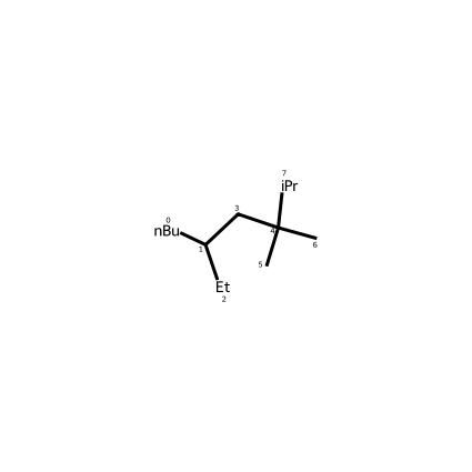 CCCCC(CC)CC(C)(C)C(C)C